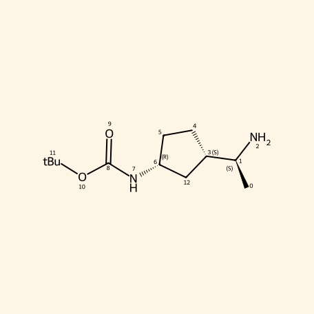 C[C@H](N)[C@H]1CC[C@@H](NC(=O)OC(C)(C)C)C1